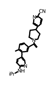 C=C(c1ccc(C)c(-c2ccc(NC(C)C)nc2)c1)N1CCC(c2ccc(C#N)nc2)CC1